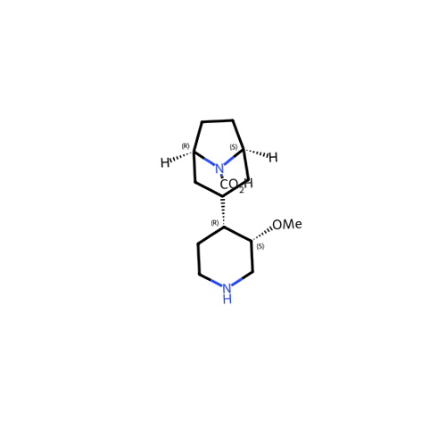 CO[C@@H]1CNCC[C@@H]1C1C[C@H]2CC[C@@H](C1)N2C(=O)O